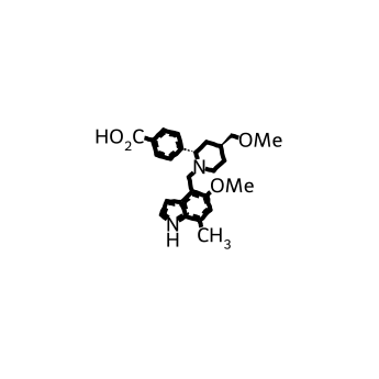 COC[C@H]1CCN(Cc2c(OC)cc(C)c3[nH]ccc23)[C@H](c2ccc(C(=O)O)cc2)C1